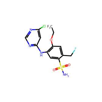 NS(=O)(=O)c1cc(Nc2cc(Cl)ncn2)c(OCC(F)(F)F)cc1CF